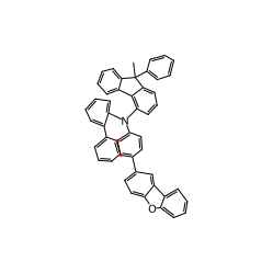 CC1(c2ccccc2)c2ccccc2-c2c(N(c3ccc(-c4ccc5oc6ccccc6c5c4)cc3)c3ccccc3-c3ccccc3)cccc21